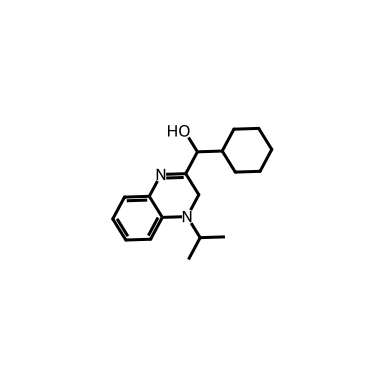 CC(C)N1CC(C(O)C2CCCCC2)=Nc2ccccc21